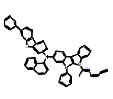 C=C/C=C\C=C(/C)n1c2ccccc2c2c3ccc(N(c4ccc5c(c4)oc4cc(-c6ccccc6)ccc45)c4cccc5ccccc45)cc3n(-c3ccccc3)c21